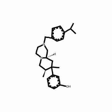 CC(C)c1ccc(CN2CCN3C[C@H](C)C(C)(c4cccc(O)c4)C[C@@H]3C2)cc1